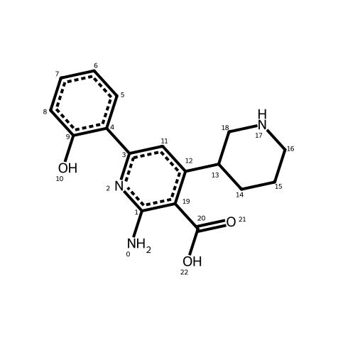 Nc1nc(-c2ccccc2O)cc(C2CCCNC2)c1C(=O)O